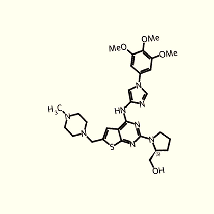 COc1cc(-n2cnc(Nc3nc(N4CCC[C@H]4CO)nc4sc(CN5CCN(C)CC5)cc34)c2)cc(OC)c1OC